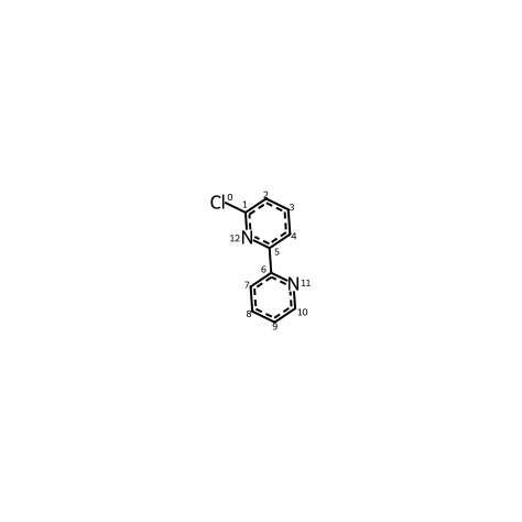 Clc1cccc(-c2ccccn2)n1